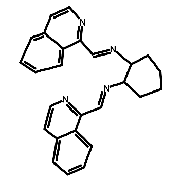 C(=NC1CCCCC1N=Cc1nccc2ccccc12)c1nccc2ccccc12